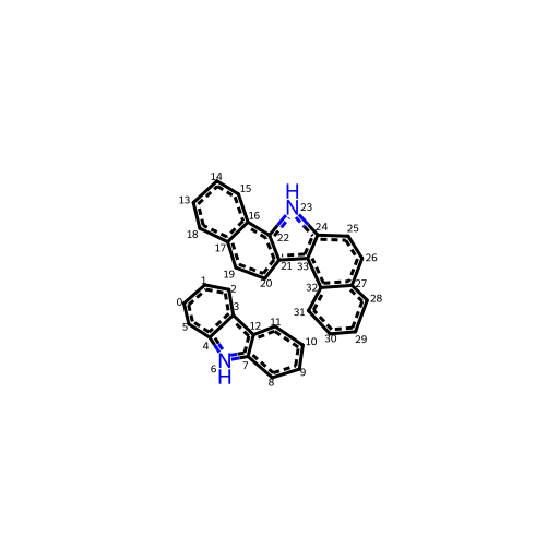 c1ccc2c(c1)[nH]c1ccccc12.c1ccc2c(c1)ccc1c2[nH]c2ccc3ccccc3c21